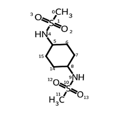 CS(=O)(=O)NC1CCC(NS(C)(=O)=O)CC1